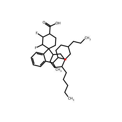 CCCCCC1CCC(C2(c3ccccc3C(C)C3CCC(CCC)CC3)CCC(C(=O)O)C(F)C2F)CC1